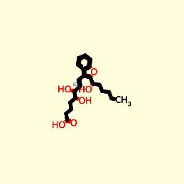 CCCCCC(O)c1oc2ccccc2c1/C=C/C(O)C(O)CCCC(=O)O